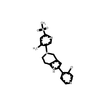 Cc1cc(S(C)(=O)=O)ncc1N1CCc2[nH]c(-c3ccncc3Cl)cc2C1